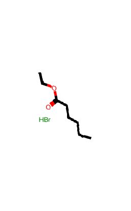 Br.CCCCCC(=O)OCC